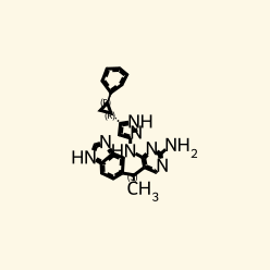 C[C@@H](c1ccc2[nH]cnc2c1)c1cnc(N)nc1Nc1cc([C@@H]2C[C@H]2c2ccccc2)[nH]n1